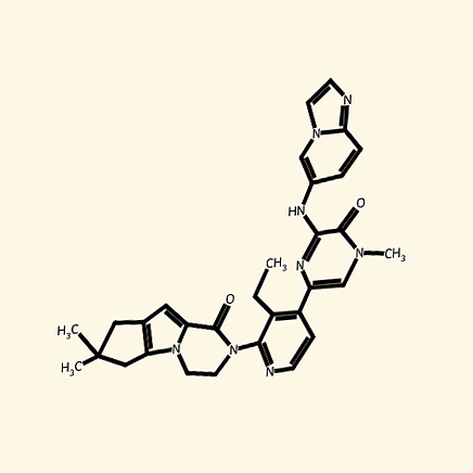 CCc1c(-c2cn(C)c(=O)c(Nc3ccc4nccn4c3)n2)ccnc1N1CCn2c(cc3c2CC(C)(C)C3)C1=O